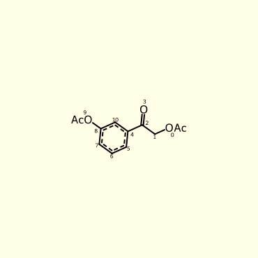 CC(=O)OCC(=O)c1cccc(OC(C)=O)c1